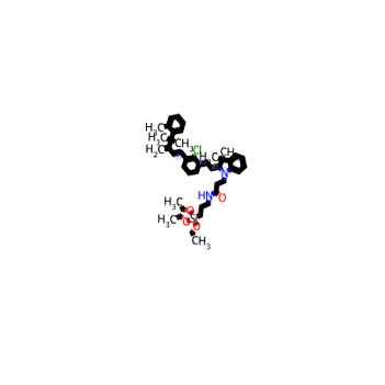 C=C(/C=C/C1=C(Cl)C(=C/C=C2/N(CCC(=O)NCCC[Si](OCC)(OCC)OCC)c3ccccc3C2(C)C)/CCC1)C(C)(C)c1ccccc1C